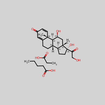 CCC(=O)O.CCCCC(=O)O.C[C@]12C=CC(=O)C=C1CC[C@@H]1[C@@H]2[C@@H](O)C[C@@]2(C)[C@H]1CC[C@]2(O)C(=O)CO